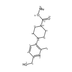 Cc1nc(CO)ccc1N1CCN(C(=O)OC(C)(C)C)CC1